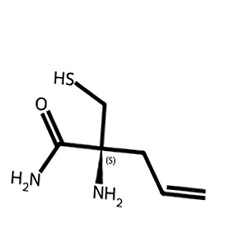 C=CC[C@@](N)(CS)C(N)=O